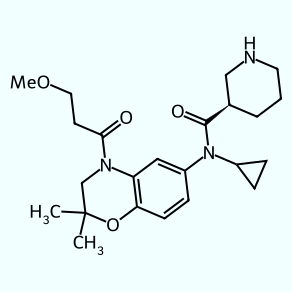 COCCC(=O)N1CC(C)(C)Oc2ccc(N(C(=O)[C@@H]3CCCNC3)C3CC3)cc21